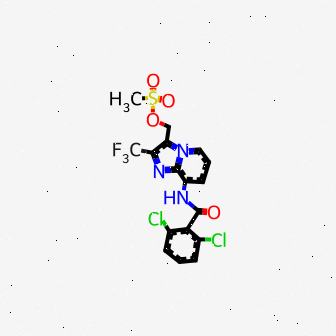 CS(=O)(=O)OCc1c(C(F)(F)F)nc2c(NC(=O)c3c(Cl)cccc3Cl)cccn12